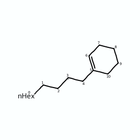 CCCCCCCC[CH]CC1=CCCCC1